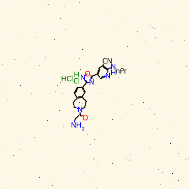 CCCNc1ncc(-c2nc(-c3ccc4c(c3)CCN(C(=O)CN)CC4)no2)cc1C#N.Cl.Cl